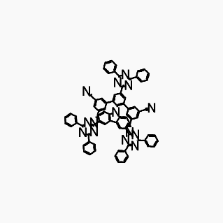 N#Cc1cc(C#N)cc(-c2cc(-c3nc(-c4ccccc4)nc(-c4ccccc4)n3)cc(-c3cc(C#N)cc(C#N)c3)c2-n2c3ccc(-c4nc(-c5ccccc5)nc(-c5ccccc5)n4)cc3c3cc(-c4nc(-c5ccccc5)nc(-c5ccccc5)n4)ccc32)c1